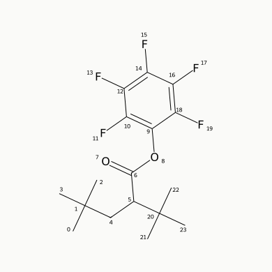 CC(C)(C)CC(C(=O)Oc1c(F)c(F)c(F)c(F)c1F)C(C)(C)C